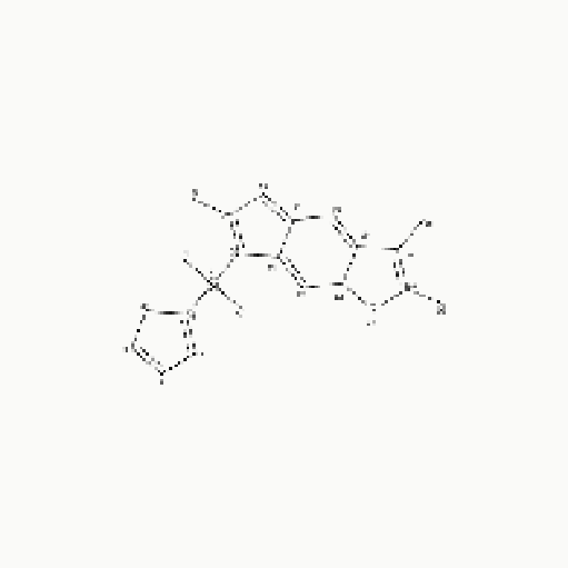 CC1=C([Si](C)(C)C2=CC=CC2)C2=CC3SC(C)=C(C)C3=CC2=C1